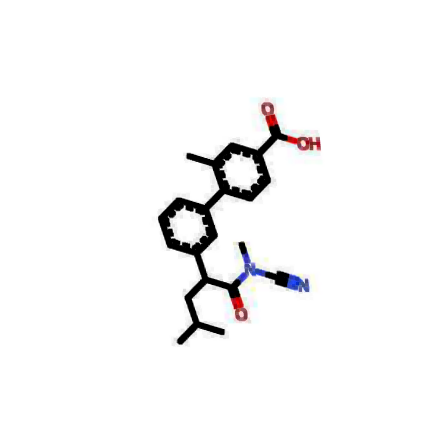 Cc1cc(C(=O)O)ccc1-c1cccc(C(CC(C)C)C(=O)N(C)C#N)c1